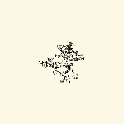 CC(O)CO.CC[C@H](C)[C@H]1O[C@]2(C=C[C@@H]1C)C[C@@H]1C[C@@H](C/C=C(\C)[C@@H](O[C@H]3C[C@H](OC)[C@@H](O[C@H]4C[C@H](OC)[C@H](NC(C)=O)[C@H](C)O4)[C@H](C)O3)[C@@H](C)/C=C/C=C3\CO[C@@H]4[C@H](O)C(C)=C[C@@H](C(=O)O1)[C@]34O)O2.CO[C@H]1C[C@H](O[C@H]2[C@H](C)O[C@@H](O[C@@H]3/C(C)=C/C[C@@H]4C[C@@H](C[C@]5(C=C[C@H](C)[C@@H](C(C)C)O5)O4)OC(=O)[C@@H]4C=C(C)[C@@H](O)[C@H]5OC/C(=C\C=C\[C@@H]3C)[C@]54O)C[C@@H]2OC)O[C@@H](C)[C@H]1NC(C)=O